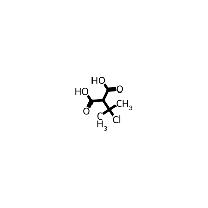 CC(C)(Cl)C(C(=O)O)C(=O)O